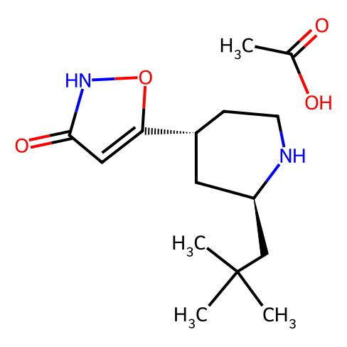 CC(=O)O.CC(C)(C)C[C@H]1C[C@H](c2cc(=O)[nH]o2)CCN1